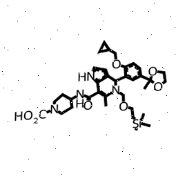 CC1=C(C(=O)NC2CCN(C(=O)O)CC2)c2[nH]ccc2C(c2cc(C3(C)OCCO3)ccc2OCC2CC2)N1COCC[Si](C)(C)C